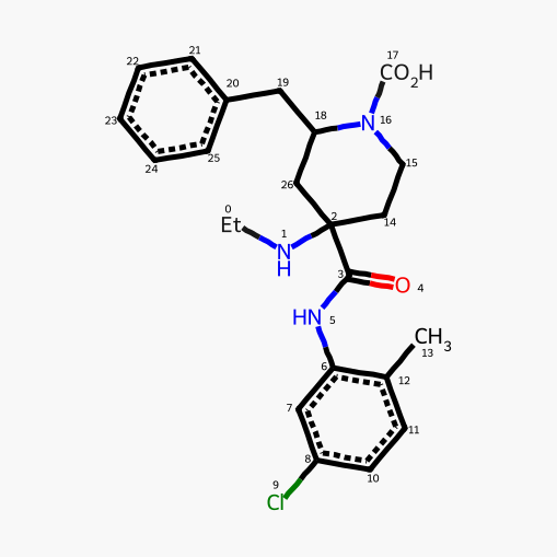 CCNC1(C(=O)Nc2cc(Cl)ccc2C)CCN(C(=O)O)C(Cc2ccccc2)C1